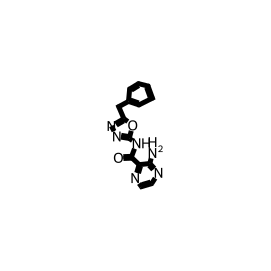 Nc1nccnc1C(=O)Nc1nnc(Cc2ccccc2)o1